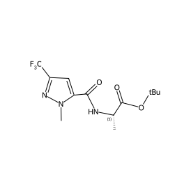 C[C@H](NC(=O)c1cc(C(F)(F)F)nn1C)C(=O)OC(C)(C)C